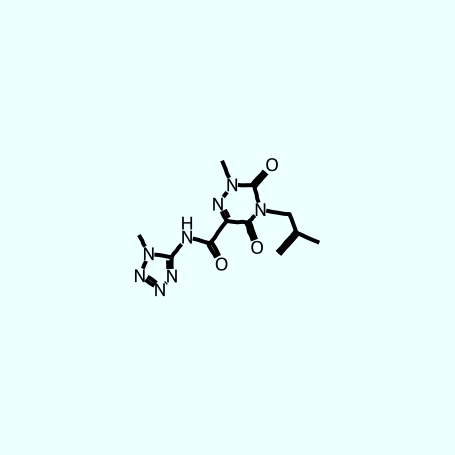 C=C(C)Cn1c(=O)c(C(=O)Nc2nnnn2C)nn(C)c1=O